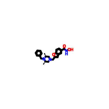 C[C@@H]1CN(Cc2cc3cc(C(=O)NO)ccc3o2)C[C@H](C)N1Cc1ccccc1